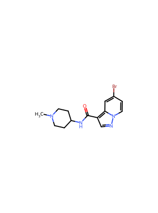 CN1CCC(NC(=O)c2cnn3ccc(Br)cc23)CC1